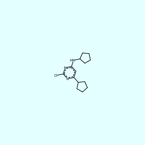 Clc1nc(NC2CCCC2)cc(C2CCCC2)n1